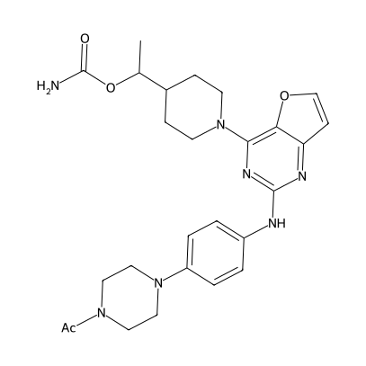 CC(=O)N1CCN(c2ccc(Nc3nc(N4CCC(C(C)OC(N)=O)CC4)c4occc4n3)cc2)CC1